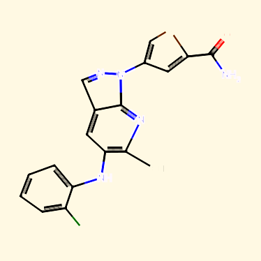 Cc1nc2c(cnn2-c2csc(C(N)=O)c2)cc1Nc1ccccc1Cl